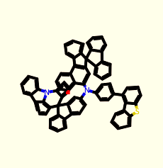 c1ccc2c(c1)-c1ccccc1C21c2ccccc2-c2c1cc(N(c1ccc(-c3cccc4sc5ccccc5c34)cc1)c1ccc3c(c1)C1(c4ccccc4-3)c3ccccc3-n3c4ccccc4c4cccc1c43)c1ccccc21